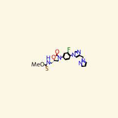 COC(=S)NC[C@H]1CN(c2ccc(-n3cnc(Cn4cccn4)c3)c(F)c2)C(=O)O1